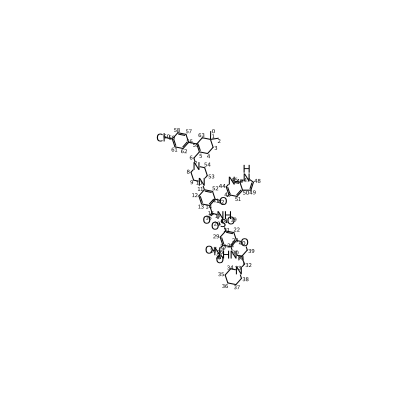 CC1(C)CCC(CN2CCN(c3ccc(C(=O)NS(=O)(=O)c4cc5c(c([N+](=O)[O-])c4)N[C@H](CN4CCCCC4)CO5)c(Oc4cnc5[nH]ccc5c4)c3)CC2)=C(c2ccc(Cl)cc2)C1